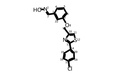 ON=Cc1cccc(OCc2csc(-c3ccc(Cl)cc3)n2)c1